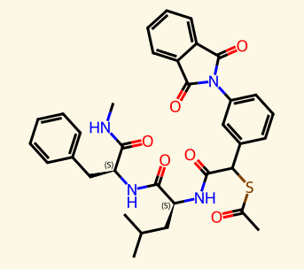 CNC(=O)[C@H](Cc1ccccc1)NC(=O)[C@H](CC(C)C)NC(=O)C(SC(C)=O)c1cccc(N2C(=O)c3ccccc3C2=O)c1